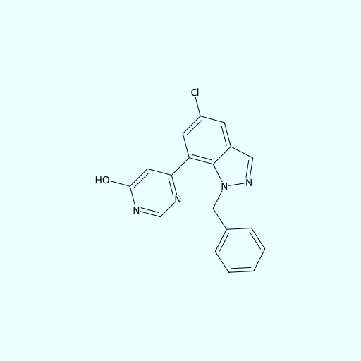 Oc1cc(-c2cc(Cl)cc3cnn(Cc4ccccc4)c23)ncn1